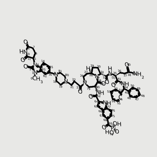 Cn1c(=O)n(C2CCC(=O)NC2=O)c2ccc(N3CCN(CCC(=O)N4CC[C@H]5CC[C@@H](C(=O)N[C@@H](CCC(N)=O)C(=O)NC(c6ccccc6)c6ccccc6)N5C(=O)[C@@H](NC(=O)c5cc6cc(C(=O)P(=O)(O)O)ccc6[nH]5)C4)CC3)cc21